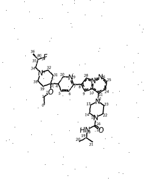 CCOC1(C2C=CC(c3cc4c(N5CCN(C(=O)NC(C)C)CC5)ccnn4c3)=NC2)CCN(C[C@@H](C)F)CC1